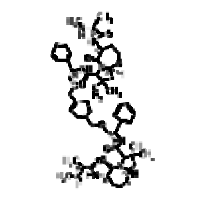 CN[C@@H](C)C(=S)N[C@H]1CCS[C@H]2CC(C)(C)C(C(=O)N[C@H](COCc3ccc(COC[C@@H](NC(=O)C4N5C(=O)[C@@H](NC(=S)[C@H](C)NC)CCS[C@H]5CC4(C)C)c4ccccc4)cc3)c3ccccc3)N2C1=O